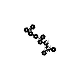 c1ccc(-c2nc(-c3ccccc3)nc(-c3cncc(-c4cccc5c4c4ccccc4n5-c4ccc(-c5ccc6c7ccccc7n(-c7ccccc7)c6c5)cc4)c3)n2)cc1